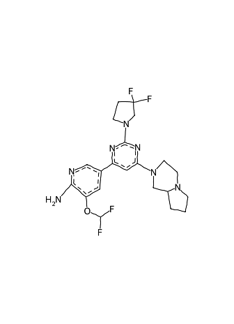 Nc1ncc(-c2cc(N3CCN4CCCC4C3)nc(N3CCC(F)(F)C3)n2)cc1OC(F)F